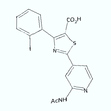 CC(=O)Nc1cc(-c2nc(-c3ccccc3I)c(C(=O)O)s2)ccn1